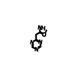 NC(=O)Cc1ncncn1